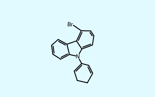 Brc1cccc2c1c1ccccc1n2C1=CCCC=C1